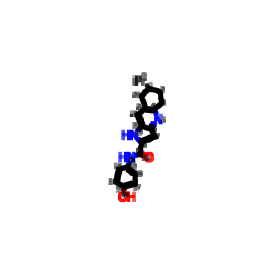 CC(C)[C@H]1CCc2nc3cc(C(=O)Nc4ccc(O)cc4)[nH]c3cc2C1